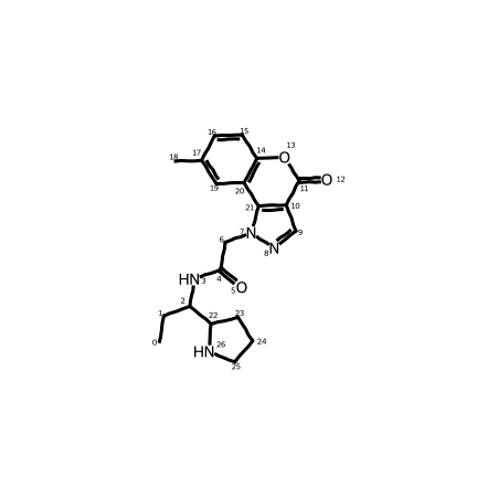 CCC(NC(=O)Cn1ncc2c(=O)oc3ccc(C)cc3c21)C1CCCN1